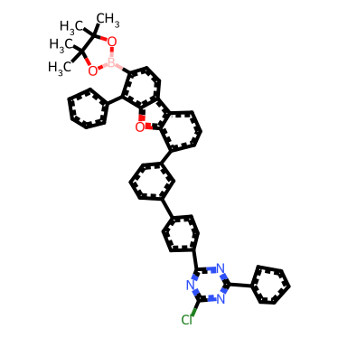 CC1(C)OB(c2ccc3c(oc4c(-c5cccc(-c6ccc(-c7nc(Cl)nc(-c8ccccc8)n7)cc6)c5)cccc43)c2-c2ccccc2)OC1(C)C